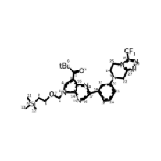 CC(C)(C)C(=O)c1cn(COCC[Si](C)(C)C)c2ncc(-c3cccc(N4CCn5c(nnc5C(F)(F)F)C4)c3)nc12